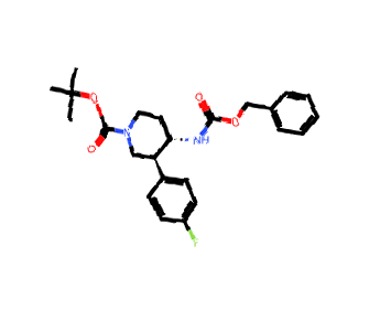 CC(C)(C)OC(=O)N1CC[C@H](NC(=O)OCc2ccccc2)[C@@H](c2ccc(F)cc2)C1